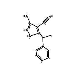 CC(c1ccccc1)c1[nH]nc(N)c1C#N